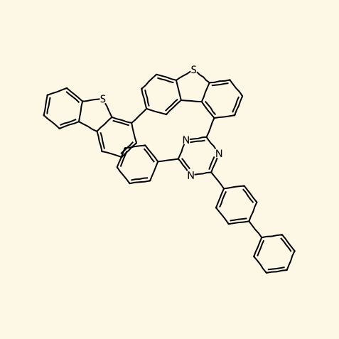 c1ccc(-c2ccc(-c3nc(-c4ccccc4)nc(-c4cccc5sc6ccc(-c7cccc8c7sc7ccccc78)cc6c45)n3)cc2)cc1